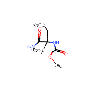 CCOC(=O)CC(NC(=O)OC(C)(C)C)(C(N)=O)C(=O)OCC